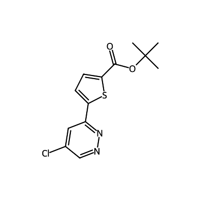 CC(C)(C)OC(=O)c1ccc(-c2cc(Cl)cnn2)s1